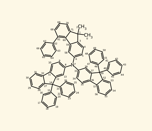 CC1(C)c2ccc(N(c3ccc4c(c3)C(c3ccccc3)(c3ccccc3)c3ccccc3-4)c3ccc4c(c3)C(c3ccccc3)(c3ccccc3)c3ccccc3-4)cc2-c2c(-c3ccccc3)cccc21